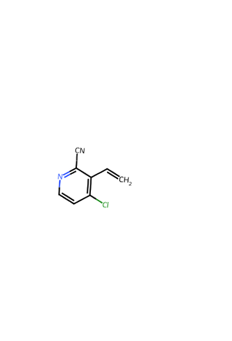 C=Cc1c(Cl)ccnc1C#N